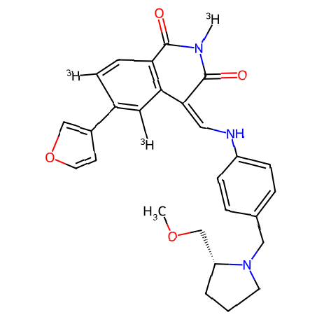 [3H]c1cc2c(c([3H])c1-c1ccoc1)/C(=C/Nc1ccc(CN3CCC[C@@H]3COC)cc1)C(=O)N([3H])C2=O